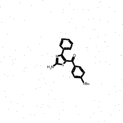 CCCCc1ccc(C(=O)c2sc(N)nc2-c2ccccc2)cc1